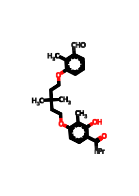 CCCC(=O)c1ccc(OCCC(C)(C)CCOc2cccc(C=O)c2C)c(C)c1O